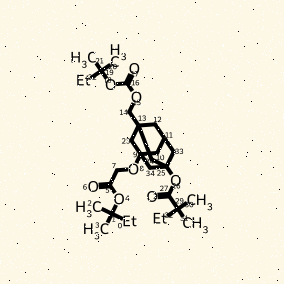 CCC(C)(C)OC(=O)COC12CC3CC(COC(=O)OC(C)(C)CC)(C1)CC(OC(=O)C(C)(C)CC)(C3)C2